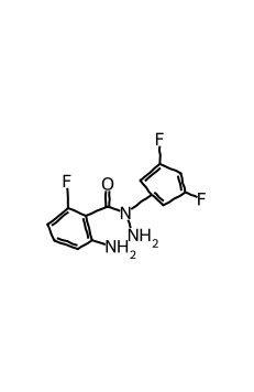 Nc1cccc(F)c1C(=O)N(N)c1cc(F)cc(F)c1